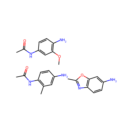 CC(=O)Nc1ccc(N)cc1C.COc1cc(NC(C)=O)ccc1N.Cc1nc2ccc(N)cc2o1